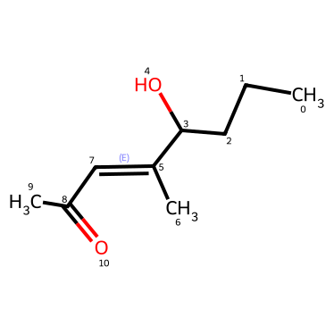 CCCC(O)/C(C)=C/C(C)=O